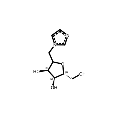 OC[C@H]1OC(Cn2ccnc2)[C@H](O)[C@@H]1O